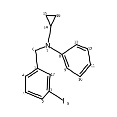 Ic1cccc(CN(c2ccccc2)C2CC2)c1